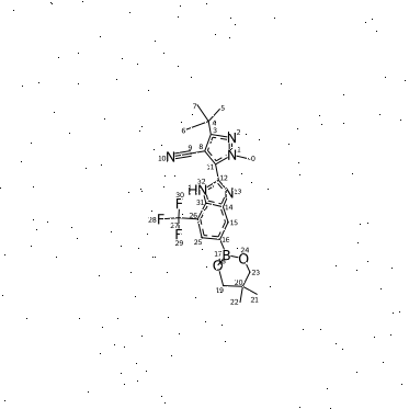 Cn1nc(C(C)(C)C)c(C#N)c1-c1nc2cc(B3OCC(C)(C)CO3)cc(C(F)(F)F)c2[nH]1